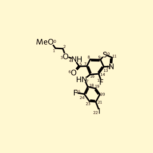 COCCONC(=O)c1cc2scnc2c(F)c1Nc1ccc(I)cc1F